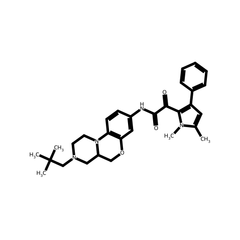 Cc1cc(-c2ccccc2)c(C(=O)C(=O)Nc2ccc3c(c2)OCC2CN(CC(C)(C)C)CCN32)n1C